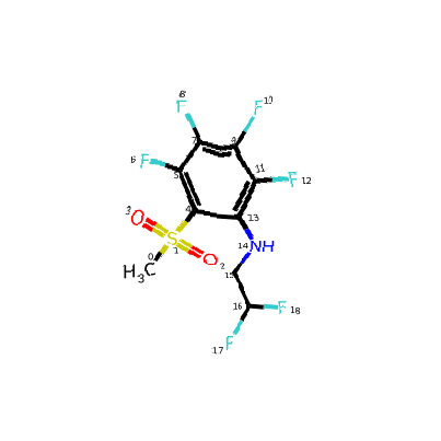 CS(=O)(=O)c1c(F)c(F)c(F)c(F)c1NCC(F)F